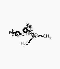 CCCCOP(=O)(CNC(=O)c1cc(Oc2ccc(C(F)(F)F)cn2)ccc1[N+](=O)[O-])OCCCC